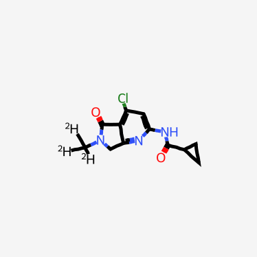 [2H]C([2H])([2H])N1Cc2nc(NC(=O)C3CC3)cc(Cl)c2C1=O